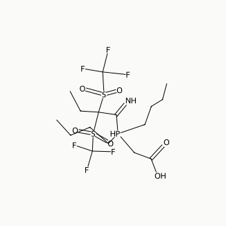 CCCC[PH](CCCC)(CC(=O)O)C(=N)C(CC)(S(=O)(=O)C(F)(F)F)S(=O)(=O)C(F)(F)F